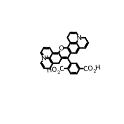 O=C(O)c1ccc(C(=O)O)c(C2=C3CC4=c5c(ccc[n+]5C=CC4)=C3Oc3c2cc2c4c3CC=CN4CC=C2)c1